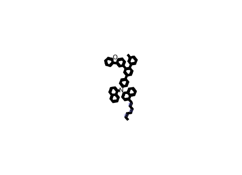 C\C=C/C=C\C=C\c1ccc(N(c2ccc(-c3ccc(-c4cccc(C)c4)c(-c4ccc5oc6ccccc6c5c4)c3)cc2)c2cccc3ccccc23)c2ccccc12